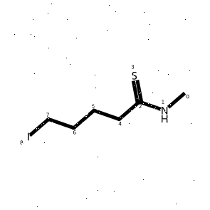 CNC(=S)CCCCI